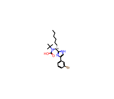 CCCCCC[C@H](c1nc(-c2cccc(Br)c2)c[nH]1)N(C(=O)O)C(C)(C)C